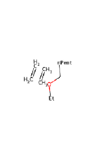 C=C.C=C.CCCCCCOCC